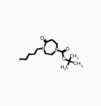 CC(C)(C)OC(=O)N1CCC(=O)N(CCCCI)CC1